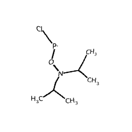 CC(C)N(O[P]Cl)C(C)C